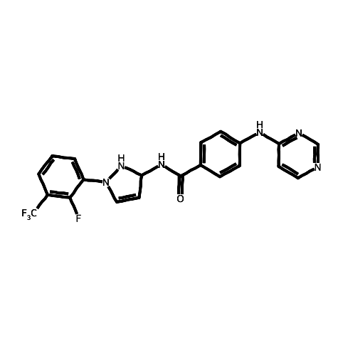 O=C(NC1C=CN(c2cccc(C(F)(F)F)c2F)N1)c1ccc(Nc2ccncn2)cc1